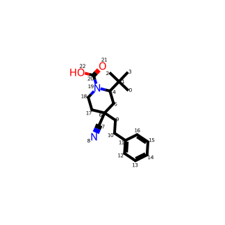 CC(C)(C)C1CC(C#N)(CCc2ccccc2)CCN1C(=O)O